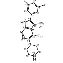 Cc1cc(-c2[nH]c3cnc(C4CCNCC4)c(F)c3c2C(C)C)cc(C)n1